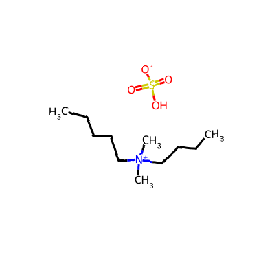 CCCCC[N+](C)(C)CCCC.O=S(=O)([O-])O